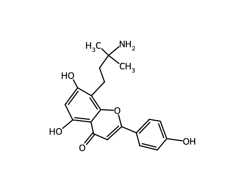 CC(C)(N)CCc1c(O)cc(O)c2c(=O)cc(-c3ccc(O)cc3)oc12